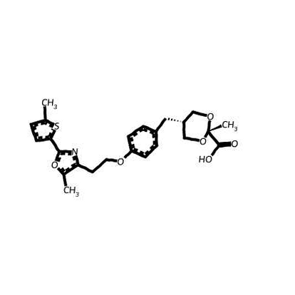 Cc1ccc(-c2nc(CCOc3ccc(C[C@H]4CO[C@@](C)(C(=O)O)OC4)cc3)c(C)o2)s1